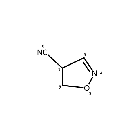 N#CC1[CH]ON=C1